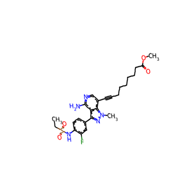 CCS(=O)(=O)Nc1ccc(-c2nn(C)c3c(C#CCCCCCCC(=O)OC)cnc(N)c23)cc1F